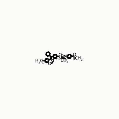 COC(=O)c1ccc(NC(=O)C(C)(C)NC(=O)c2ccc3c(C4CCCCC4)c4n(c3c2)CCOc2cc(OC)ccc2-4)cc1